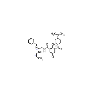 C/C=C\N/C(CNC(=O)c1cc(Cl)cc(N(CC)[C@H]2CC[C@H](N(C)C)CC2)c1C)=N/Cc1ccccc1